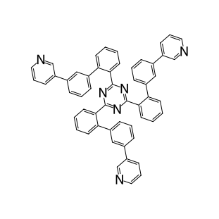 c1cncc(-c2cccc(-c3ccccc3-c3nc(-c4ccccc4-c4cccc(-c5cccnc5)c4)nc(-c4ccccc4-c4cccc(-c5cccnc5)c4)n3)c2)c1